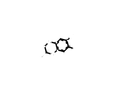 C[C@H]1CNc2cc(Cl)c(Cl)cc2N1